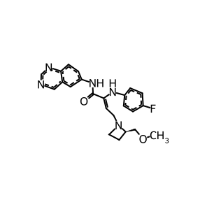 COC[C@H]1CCN1CC=C(Nc1ccc(F)cc1)C(=O)Nc1ccc2ncncc2c1